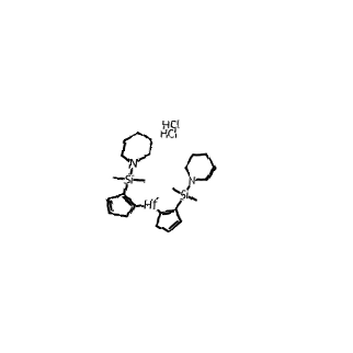 C[Si](C)(C1=[C]([Hf][C]2=C([Si](C)(C)N3CCCCC3)C=CC2)CC=C1)N1CCCCC1.Cl.Cl